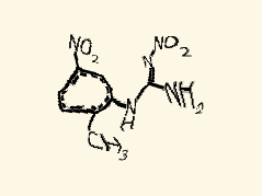 Cc1ccc([N+](=O)[O-])cc1NC(N)=N[N+](=O)[O-]